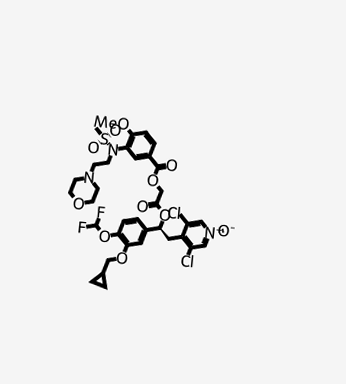 COc1ccc(C(=O)OCC(=O)O[C@@H](Cc2c(Cl)c[n+]([O-])cc2Cl)c2ccc(OC(F)F)c(OCC3CC3)c2)cc1N(CCN1CCOCC1)S(C)(=O)=O